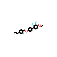 C/C=C/c1ccc(COc2ccc(-c3ccc(OCC)c(F)c3F)cc2)c(F)c1